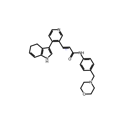 O=C(/C=C/c1cnccc1-c1c[nH]c2c1CCC=C2)Nc1ccc(CN2CCOCC2)cc1